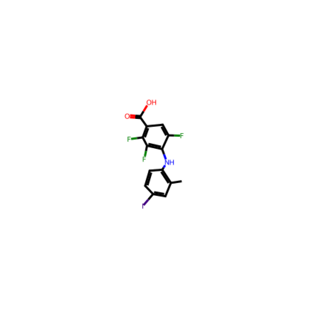 Cc1cc(I)ccc1Nc1c(F)cc(C(=O)O)c(F)c1F